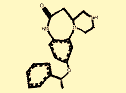 C[C@H](Oc1ccc2c(c1)N1CCNCC1CC(=O)N2)c1ccccc1